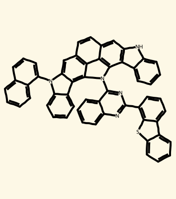 c1ccc2c(-n3c4ccccc4c4c3cc3ccc5cc6[nH]c7ccccc7c6c6c5c3c4n6-c3nc(-c4cccc5c4sc4ccccc45)nc4ccccc34)cccc2c1